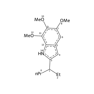 CCCC(CC)c1cc2cc(OC)c(OC)c(OC)c2[nH]1